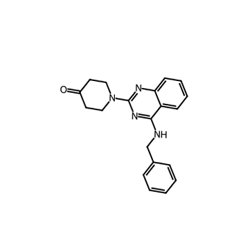 O=C1CCN(c2nc(NCc3ccccc3)c3ccccc3n2)CC1